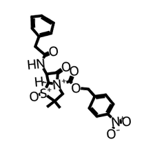 CC1(C)C[N+]2(C(=O)OCc3ccc([N+](=O)[O-])cc3)C(=O)C(NC(=O)Cc3ccccc3)[C@@H]2[S+]1[O-]